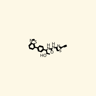 C#Cc1nc(NC(=O)NC(c2ccc(-c3cccc4ncsc34)cc2)C(C)O)cs1